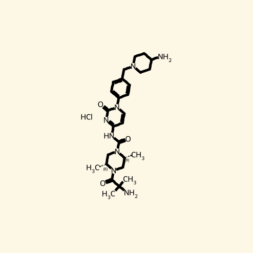 C[C@@H]1CN(C(=O)C(C)(C)N)[C@H](C)CN1C(=O)Nc1ccn(-c2ccc(CN3CCC(N)CC3)cc2)c(=O)n1.Cl